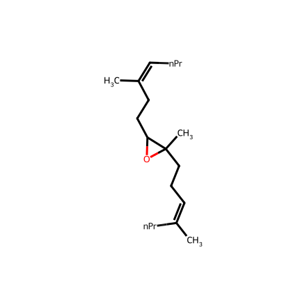 CCC/C=C(/C)CCC1OC1(C)CC/C=C(/C)CCC